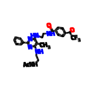 CC(=O)NCCNc1nc(-c2ccccc2)nc(NCCNC(=O)c2ccc(C(=O)C(F)(F)F)cc2)c1C